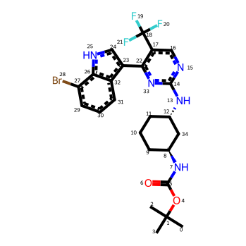 CC(C)(C)OC(=O)N[C@H]1CCC[C@H](Nc2ncc(C(F)(F)F)c(-c3c[nH]c4c(Br)cccc34)n2)C1